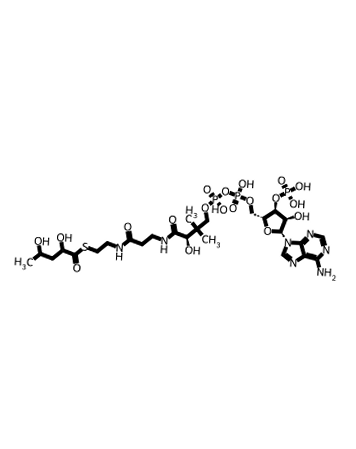 CC(O)CC(O)C(=O)SCCNC(=O)CCNC(=O)[C@H](O)C(C)(C)COP(=O)(O)OP(=O)(O)OC[C@H]1O[C@@H](n2cnc3c(N)ncnc32)[C@H](O)[C@@H]1OP(=O)(O)O